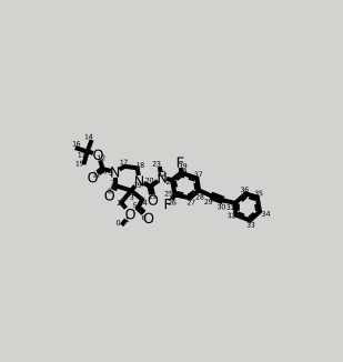 COCC1(CC=O)C(=O)N(C(=O)OC(C)(C)C)CCN1C(=O)N(C)c1c(F)cc(C#Cc2ccccc2)cc1F